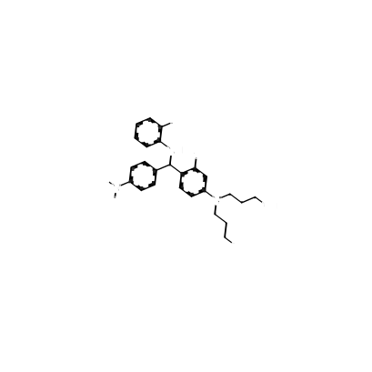 CCCCN(CCCC)c1ccc(C(Nc2ccccc2Cl)c2ccc(N(C)C)cc2)c(C)c1